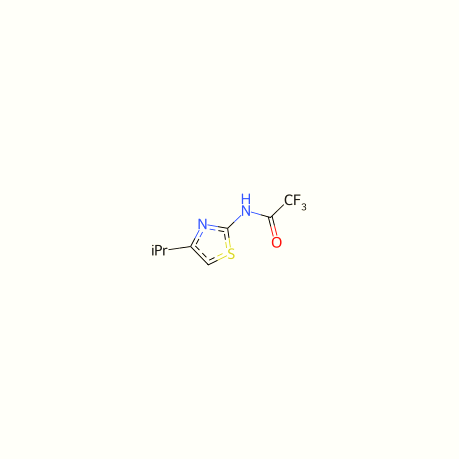 CC(C)c1csc(NC(=O)C(F)(F)F)n1